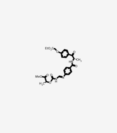 CCOC(=O)COc1ccc(C(=O)[C@H](C)NC(=O)c2ccc(N=CNC(=O)O[C@@H](C)C(=O)OC)cc2)cc1